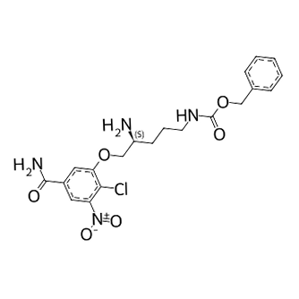 NC(=O)c1cc(OC[C@@H](N)CCCNC(=O)OCc2ccccc2)c(Cl)c([N+](=O)[O-])c1